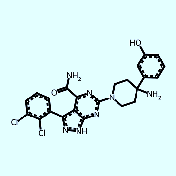 NC(=O)c1nc(N2CCC(N)(c3cccc(O)c3)CC2)nc2[nH]nc(-c3cccc(Cl)c3Cl)c12